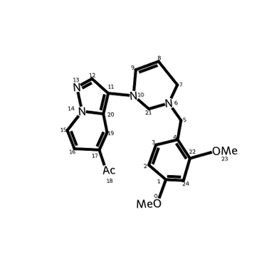 COc1ccc(CN2CC=CN(c3cnn4ccc(C(C)=O)cc34)C2)c(OC)c1